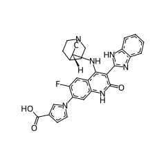 O=C(O)c1ccn(-c2cc3[nH]c(=O)c(-c4nc5ccccc5[nH]4)c(N[C@H]4CN5CCC4CC5)c3cc2F)c1